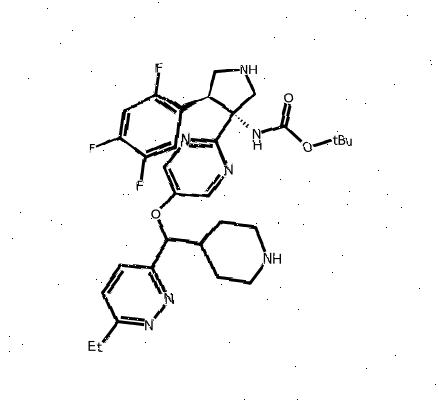 CCc1ccc(C(Oc2cnc([C@]3(NC(=O)OC(C)(C)C)CNC[C@@H]3c3cc(F)c(F)cc3F)nc2)C2CCNCC2)nn1